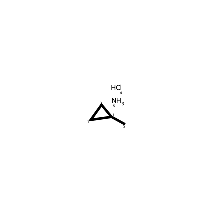 CC1CC1.Cl.N